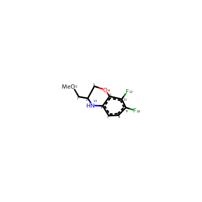 COCC1COc2c(ccc(F)c2F)N1